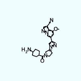 COc1cc(-c2cnn([C@H]3CCN(C(=O)C4CCC(N)CC4)C3)c2)cn2ncc(C#N)c12